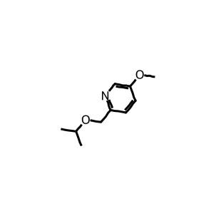 COc1ccc(COC(C)C)nc1